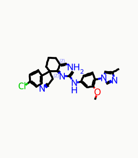 C=C(/N=C1\C(=C/N)CCCC1(CC#N)c1ccc(Cl)cc1)Nc1ccc(-n2cnc(C)c2)c(OC)c1